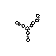 c1ccc2oc(-c3ccc(-c4nc(-c5ccc(-c6nc7ccccc7o6)cc5)nc(-c5ccc6cc(-c7ccc8oc9ccccc9c8c7)ccc6c5)n4)cc3)nc2c1